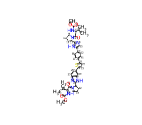 COC(=O)NC(C(=O)N1CCCC1c1ncc(-c2ccc(-c3ccc(-c4ccc5nc(C6CCCN6C(=O)C(NC(=O)OC)C(C)C)[nH]c5c4)s3)cc2)[nH]1)C(C)C